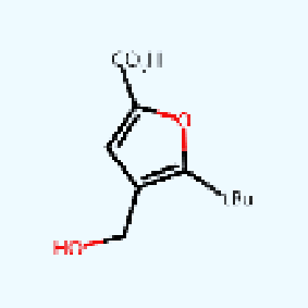 CC(C)(C)c1oc(C(=O)O)cc1CO